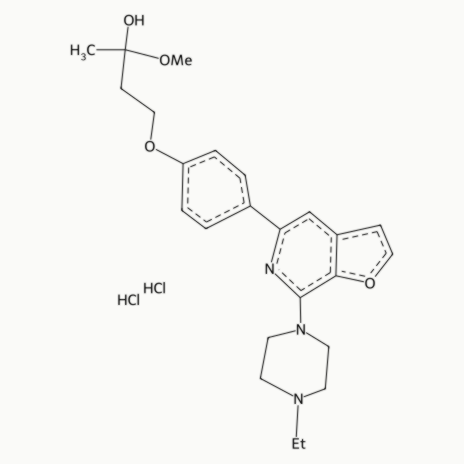 CCN1CCN(c2nc(-c3ccc(OCCC(C)(O)OC)cc3)cc3ccoc23)CC1.Cl.Cl